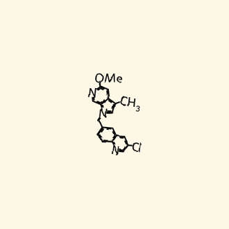 COc1cc2c(C)cn(Cc3ccc4ncc(Cl)cc4c3)c2cn1